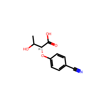 CC(O)[C@@H](Oc1ccc(C#N)cc1)C(=O)O